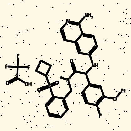 CCOc1cc(C(Nc2ccc3c(N)nccc3c2)C(=O)N(C)Cc2ccccc2S(=O)(=O)C2CCC2)ccc1F.O=C(O)C(F)(F)F